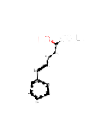 CCOC(=O)C(O)CCC=Cc1ccccc1